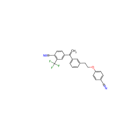 C=C(c1cccc(CCOc2ccc(C#N)cc2)c1)c1ccc(C#N)c(C(F)(F)F)c1